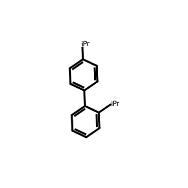 CC(C)c1ccc(-c2ccccc2C(C)C)cc1